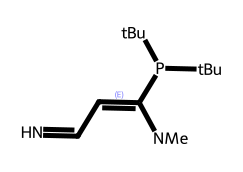 CN/C(=C\C=N)P(C(C)(C)C)C(C)(C)C